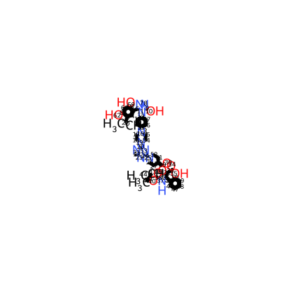 CC(C)c1cc(-c2nnc(O)n2-c2ccc(N3CCN(c4ncnc(N5CCC(C(=O)OC(C(=O)O)C(NC(=O)OC(C)(C)C)c6ccccc6)CC5)n4)CC3)cc2)c(O)cc1O